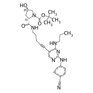 CCCNc1nc(Nc2ccc(C#N)cc2)ncc1C#CCCCNC(=O)[C@@H]1C[C@@H](O)CN1C(=O)OC(C)(C)C